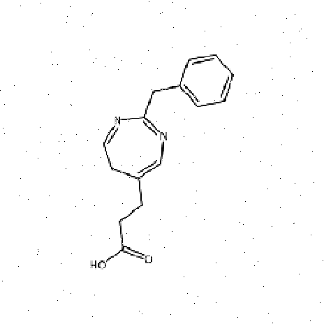 O=C(O)CCC1=CN=C(Cc2ccccc2)N=CC1